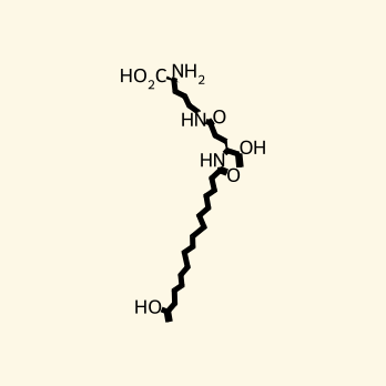 C=C(O)CCCCCCCCCCCCCCC(=O)N[C@@H](CCC(=O)NCCCC[C@H](N)C(=O)O)C(=C)O